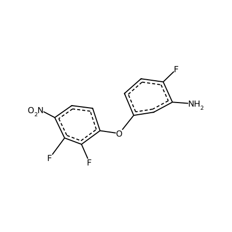 Nc1cc(Oc2ccc([N+](=O)[O-])c(F)c2F)ccc1F